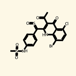 CC(=O)c1c(C(=S=O)c2ccc(NS(C)(=O)=O)cc2)[nH]c2c(Br)ccc(Cl)c2c1=O